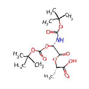 C[C@H](OC(=O)[C@@H](NC(=O)OC(C)(C)C)OC(=O)OC(C)(C)C)C(=O)O